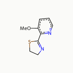 COc1cccnc1C1=NCCS1